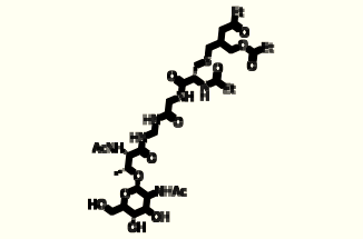 CCC(=O)CC(COC(=O)CC)CSC[C@H](NC(=O)CC)C(=O)NCC(=O)NCNC(=O)[C@@H](NC(C)=O)[C@@H](C)O[C@@H]1OC(CO)[C@@H](O)C(O)C1NC(C)=O